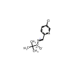 CC(C)(C)[S@+]([O-])/N=C/c1ccc(Cl)cn1